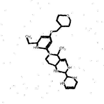 CCC1C=C(OCC2CCOCC2)C=C(N2CCC3NC(C4NC=CCN4)NC=C3C2C)N1